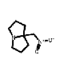 O=[N+]([O-])CC12CCCN1CCC2